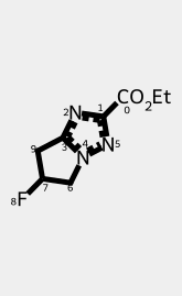 CCOC(=O)c1nc2n(n1)CC(F)C2